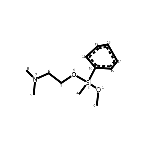 CO[Si](C)(OCCN(C)C)c1ccccc1